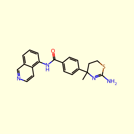 CC1(c2ccc(C(=O)Nc3cccc4cnccc34)cc2)CCSC(N)=N1